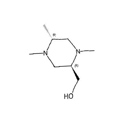 C[C@@H]1CN(C)[C@@H](CO)CN1C